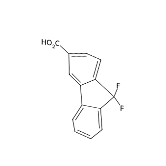 O=C(O)c1ccc2c(c1)-c1ccccc1C2(F)F